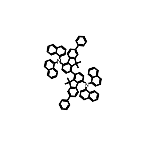 CC1(C)c2cc(-c3ccccc3)ccc2-c2c(N(c3cccc4ccccc34)c3cccc4ccccc34)ccc(-c3ccc(N(c4cccc5ccccc45)c4cccc5ccccc45)c4c3C(C)(C)c3cc(-c5ccccc5)ccc3-4)c21